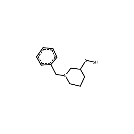 SSC1CCCN(Cc2ccccc2)C1